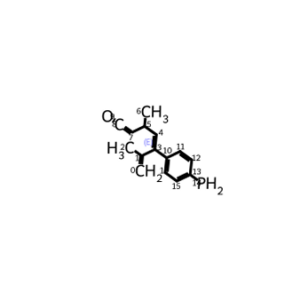 C=C(C)/C(=C\C(C)C=C=O)c1ccc(P)cc1